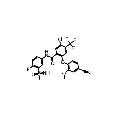 COc1cc(C#N)ccc1Oc1cc(C(F)(F)F)c(Cl)cc1C(=O)Nc1ccc(F)c([S@](C)(=N)=O)c1